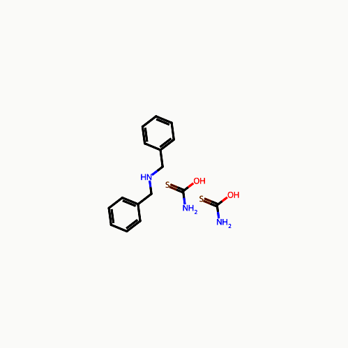 NC(O)=S.NC(O)=S.c1ccc(CNCc2ccccc2)cc1